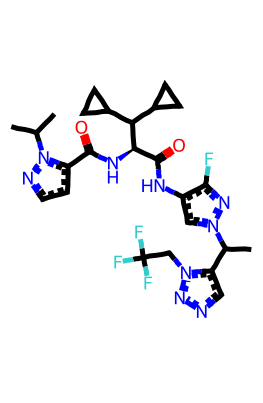 CC(c1cnnn1CC(F)(F)F)n1cc(NC(=O)[C@@H](NC(=O)c2ccnn2C(C)C)C(C2CC2)C2CC2)c(F)n1